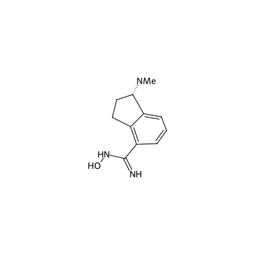 CN[C@H]1CCc2c(C(=N)NO)cccc21